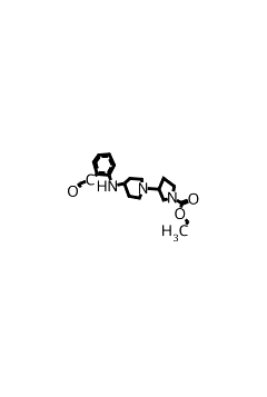 CCOC(=O)N1CCC(N2CCC(Nc3ccccc3CC=O)CC2)C1